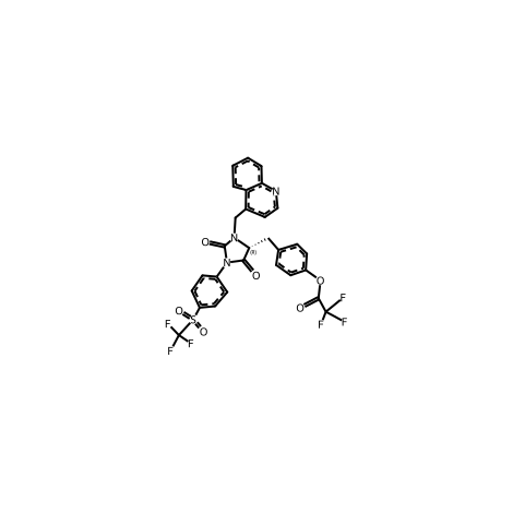 O=C1[C@@H](Cc2ccc(OC(=O)C(F)(F)F)cc2)N(Cc2ccnc3ccccc23)C(=O)N1c1ccc(S(=O)(=O)C(F)(F)F)cc1